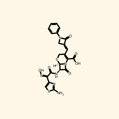 Nc1nc(/C(=N/O)C(=O)N[C@@H]2C(=O)N3C(C(=O)O)=C(/C=C4\CN(c5ccccc5)C4=O)CS[C@H]23)cs1